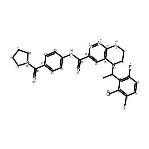 CC(c1c(F)ccc(F)c1Cl)N1CCNc2nnc(C(=O)Nc3ccc(C(=O)N4CCCC4)cc3)cc21